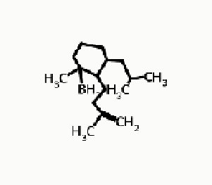 BC1(C)CCCC(CC(C)C)C1CCC(=C)C